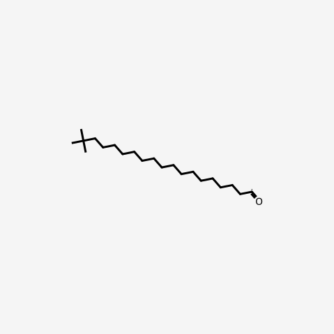 CC(C)(C)CCCCCCCCCCCCCCCC[C]=O